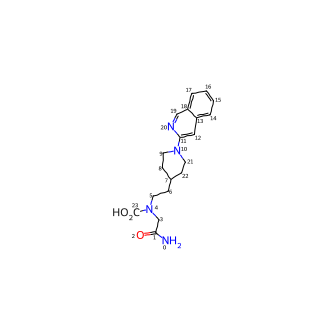 NC(=O)CN(CCC1CCN(c2cc3ccccc3cn2)CC1)C(=O)O